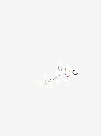 N=C(N)NCCCCNC(=O)NC[C@@H](C(=O)O)N(C(=O)[C@@H]1CCCN1)S(=O)(=O)c1ccccc1